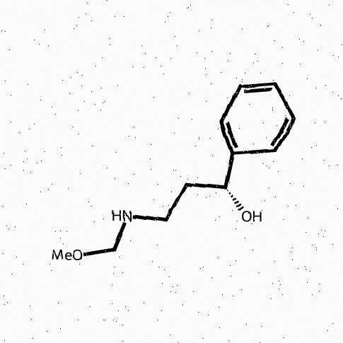 COCNCC[C@@H](O)c1ccccc1